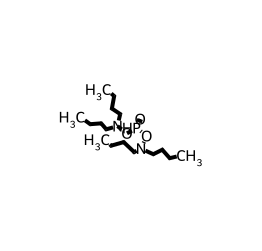 CCCCN(CCCC)O[PH](=O)ON(CCCC)CCCC